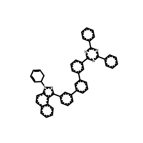 C1=CCC(n2nc(-c3cccc(-c4cccc(-c5cccc(-c6nc(-c7ccccc7)nc(-c7ccccc7)n6)c5)c4)c3)c3c4ccccc4ccc32)C=C1